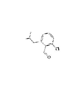 CC(C)Cc1cccc(Cl)c1C=O